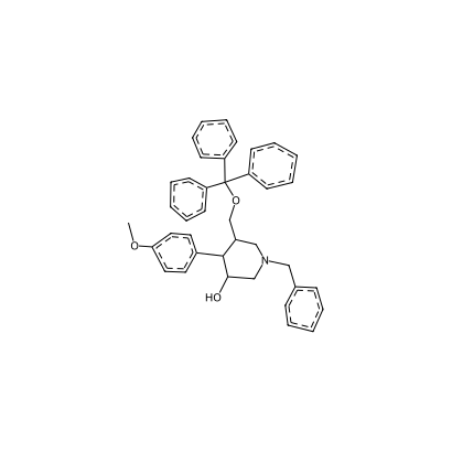 COc1ccc(C2C(O)CN(Cc3ccccc3)CC2COC(c2ccccc2)(c2ccccc2)c2ccccc2)cc1